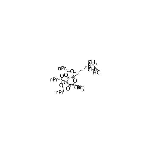 C#CC[N+](C)(C)CCCCO[C@@H]1O[C@@H](C)[C@H](OC(=O)CCC)[C@@H](OC(=O)CCC)[C@H]1OC(=O)CCC.[Br-]